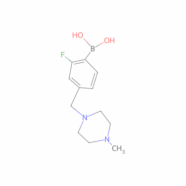 CN1CCN(Cc2ccc(B(O)O)c(F)c2)CC1